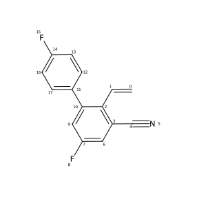 C=Cc1c(C#N)cc(F)cc1-c1ccc(F)cc1